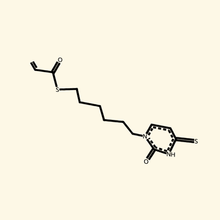 C=CC(=O)SCCCCCCn1ccc(=S)[nH]c1=O